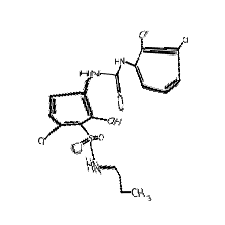 CCCNS(=O)(=O)c1c(Cl)ccc(NC(=O)Nc2cccc(Cl)c2Cl)c1O